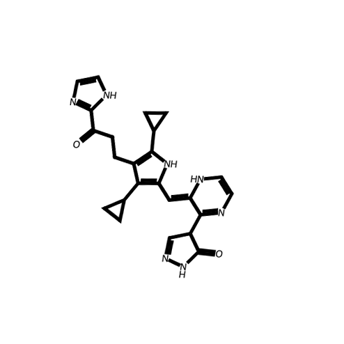 O=C(CCc1c(C2CC2)[nH]c(C=C2NC=CN=C2C2C=NNC2=O)c1C1CC1)c1ncc[nH]1